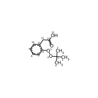 CC(C)(C)OOc1ccccc1CC(=O)O